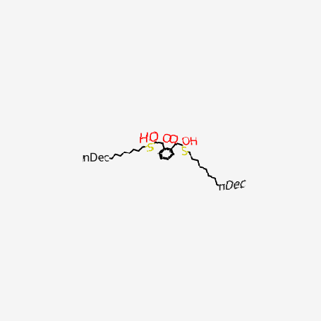 CCCCCCCCCCCCCCCCCCSC(O)C(=O)c1ccccc1C(=O)C(O)SCCCCCCCCCCCCCCCCCC